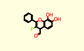 O=CC1C(F)=C(c2ccccc2)Oc2c1ccc(O)c2O